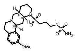 COc1ccc2c(c1)[C@@H]1C[C@@H]3[C@@H](CCCN3S(=O)(=O)CCCNS(N)(=O)=O)CN1CC2